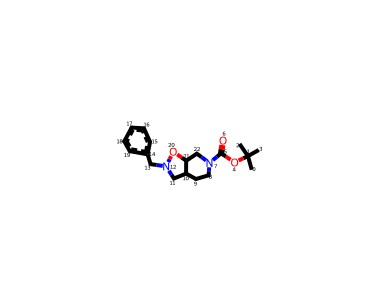 CC(C)(C)OC(=O)N1CCC2CN(Cc3ccccc3)OC2C1